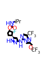 CC(C)NC(=O)O[C@@H]1CC[C@H](c2cc(Nc3ncc(C(F)(F)F)c4nc(COC(F)(F)F)cn34)n[nH]2)[C@H]1F